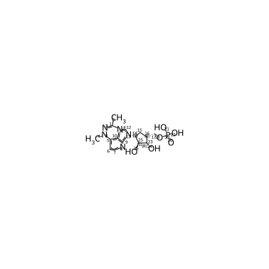 CC1=NN(C)c2ccnc3c2[n+]1cn3[C@@H]1C[C@H](COP(=O)(O)O)[C@@H](O)[C@H]1O